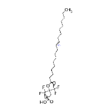 CCCCCCCC/C=C/CCCCCCCCC(=O)OC(CS(=O)(=O)O)(C(F)(F)F)C(F)(F)F